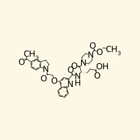 CCOC(=O)N1CCN(C(=O)[C@H](CCC(=O)O)NC(=O)c2cc(OCC(=O)N3CCc4cc(C(C)=O)ccc43)c3ccccc3n2)CC1